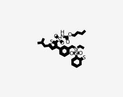 CCCCOC(=O)NS(=O)(=O)c1sc(CC(C)C)cc1-c1cccc(CN(CC)S(=O)(=O)C2=CC=CCC2=S)c1